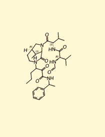 CCCC(C(=O)C(=O)NC(C)c1ccccc1)N1CC[C@H]2CN(C(=O)[C@@H](NC(=O)[C@H](NC=O)C(C)C)C(C)C)C(C1=O)[C@H]2C